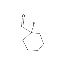 O=CC1(F)CCCCC1